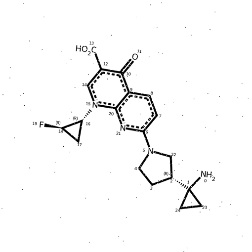 NC1([C@@H]2CCN(c3ccc4c(=O)c(C(=O)O)cn([C@@H]5C[C@H]5F)c4n3)C2)CC1